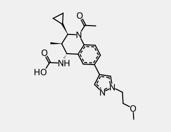 COCCn1cc(-c2ccc3c(c2)[C@H](NC(=O)O)[C@@H](C)[C@@H](C2CC2)N3C(C)=O)cn1